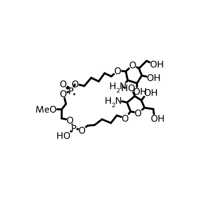 COC(COP(O)OCCCCCOC1OC(CO)C(O)C(O)C1N)COP(C)(=O)OCCCCCOC1OC(CO)C(O)C(O)C1N